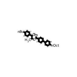 CCCCCCCCc1ccc(-c2ccc(C(=O)OC(C)C(=O)c3ccc(CCCC)cc3)cc2)cc1